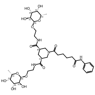 C[C@@H]1O[C@@H](OCCNC(=O)[C@@H]2C[C@H](C(=O)NCCO[C@@H]3O[C@@H](C)[C@@H](O)[C@@H](O)[C@@H]3O)CN(C(=O)CCCCC(=O)Nc3ccccc3)C2)[C@@H](O)[C@H](O)[C@@H]1O